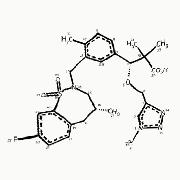 CCCn1cc(CO[C@H](c2ccc(C)c(CN3C[C@H](C)Cc4ccc(F)cc4S3(=O)=O)c2)C(C)(C)C(=O)O)nn1